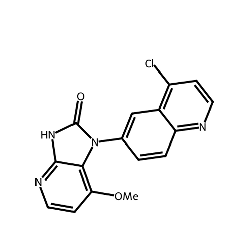 COc1ccnc2[nH]c(=O)n(-c3ccc4nccc(Cl)c4c3)c12